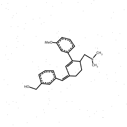 COc1cccc(C2=CC(=Cc3cccc(CO)c3)CCC2CN(C)C)c1